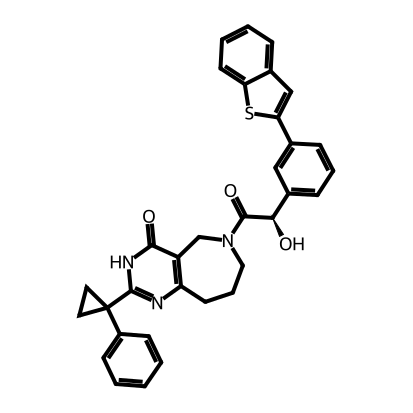 O=C([C@H](O)c1cccc(-c2cc3ccccc3s2)c1)N1CCCc2nc(C3(c4ccccc4)CC3)[nH]c(=O)c2C1